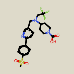 CS(=O)(=O)c1ccc(-c2ccc(CN(CC(F)(F)F)C3CCN(C(=O)O)CC3)cn2)cc1